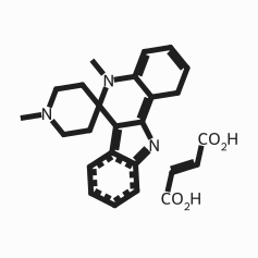 CN1CCC2(CC1)C1=c3ccccc3=NC1=C1CC=CC=C1N2C.O=C(O)/C=C/C(=O)O